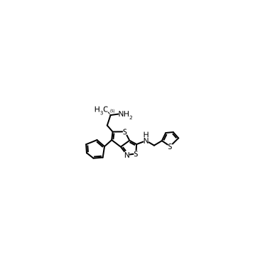 C[C@H](N)Cc1sc2c(NCc3cccs3)snc2c1-c1ccccc1